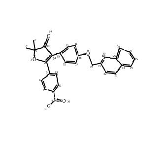 CC1(C)OC(c2ccc([N+](=O)[O-])cc2)=C(c2ccc(OCc3ccc4ccccc4n3)cc2)C1=O